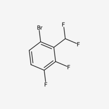 Fc1ccc(Br)c(C(F)F)c1F